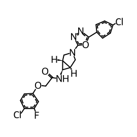 O=C(COc1ccc(Cl)c(F)c1)N[C@H]1[C@@H]2CN(c3nnc(-c4ccc(Cl)cc4)o3)C[C@@H]21